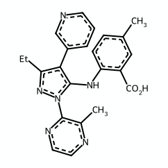 CCc1nn(-c2nccnc2C)c(Nc2ccc(C)cc2C(=O)O)c1-c1cccnc1